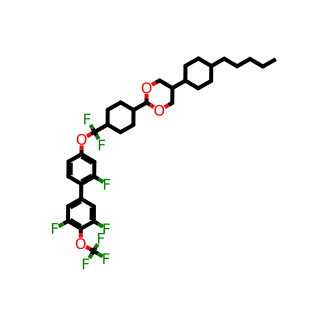 CCCCCC1CCC(C2COC(C3CCC(C(F)(F)Oc4ccc(-c5cc(F)c(OC(F)(F)F)c(F)c5)c(F)c4)CC3)OC2)CC1